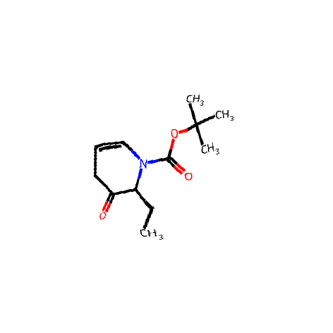 CCC1C(=O)CC=CN1C(=O)OC(C)(C)C